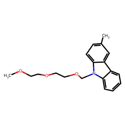 COCCOCCOCn1c2ccccc2c2cc(C)ccc21